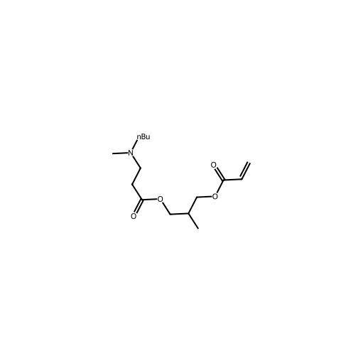 C=CC(=O)OCC(C)COC(=O)CCN(C)CCCC